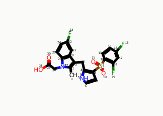 Cc1c(Cc2[nH]ccc2S(=O)(=O)c2ccc(F)cc2F)c2cc(F)ccc2n1CC(=O)O